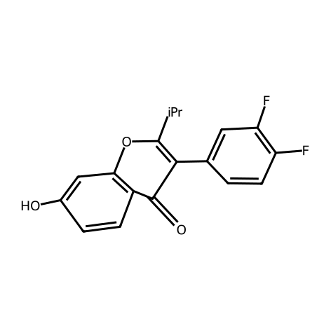 CC(C)c1oc2cc(O)ccc2c(=O)c1-c1ccc(F)c(F)c1